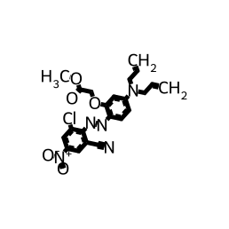 C=CCN(CC=C)c1ccc(/N=N/c2c(Cl)cc([N+](=O)[O-])cc2C#N)c(OCC(=O)OC)c1